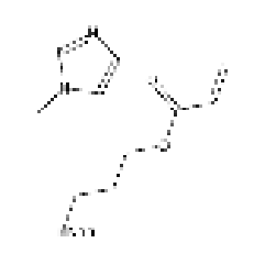 C=CC(=O)OCCCCCCCCCCCC.Cn1ccnc1